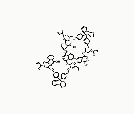 C=CC(=O)OCC(COCc1ccc(C2(c3ccc(OCC(COC(=O)C=C)OC(=O)C4CC=CCC4C(=O)O)cc3)c3ccccc3-c3ccccc32)cc1)OC(=O)c1cc(-c2ccc(C(=O)O)c(C(=O)OC(COC(=O)C=C)COc3ccc(C4(c5ccc(OCC(COC(=O)C=C)OC(=O)C6CC=CCC6C(=O)O)cc5)c5ccccc5-c5ccccc54)cc3)c2)ccc1C(=O)O